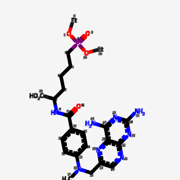 CCOP(=O)(CCCCC(NC(=O)c1ccc(N(C)Cc2cnc3nc(N)nc(N)c3n2)cc1)C(=O)O)OCC